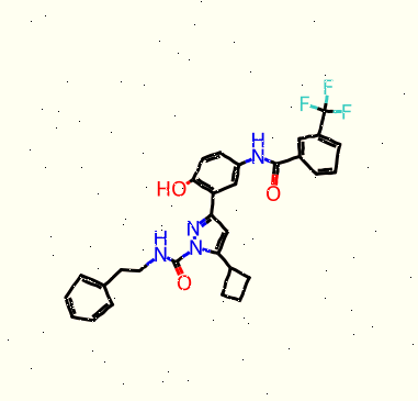 O=C(Nc1ccc(O)c(-c2cc(C3CCC3)n(C(=O)NCCc3ccccc3)n2)c1)c1cccc(C(F)(F)F)c1